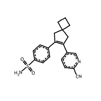 N#Cc1ccc(C2=C(c3ccc(S(N)(=O)=O)cc3)CC3(CCC3)C2)cn1